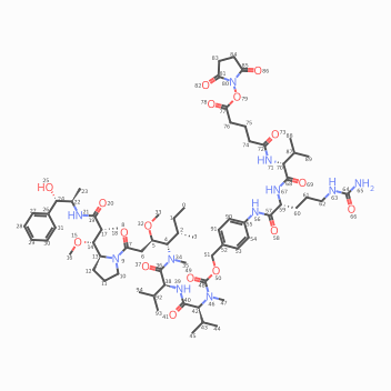 CC[C@H](C)[C@@H]([C@@H](CC(=O)N1CCC[C@H]1[C@H](OC)[C@@H](C)C(=O)N[C@H](C)[C@@H](O)c1ccccc1)OC)N(C)C(=O)[C@@H](NC(=O)[C@H](C(C)C)N(C)C(=O)OCc1ccc(NC(=O)[C@@H](CCCNC(N)=O)NC(=O)[C@H](NC(=O)CCCC(=O)ON2C(=O)CCC2=O)C(C)C)cc1)C(C)C